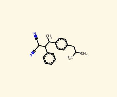 CC(C)Cc1ccc(C(C)C(c2ccccc2)C(C#N)C#N)cc1